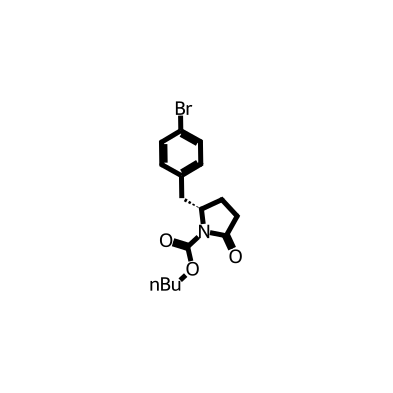 CCCCOC(=O)N1C(=O)CC[C@H]1Cc1ccc(Br)cc1